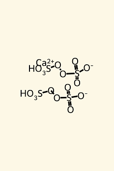 O=S(=O)([O-])OOS(=O)(=O)O.O=S(=O)([O-])OOS(=O)(=O)O.[Ca+2]